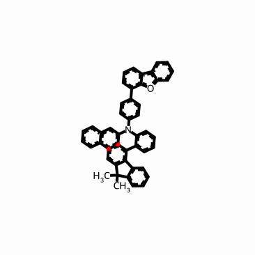 CC1(C)c2ccccc2-c2c(-c3ccccc3N(c3ccc(-c4cccc5c4oc4ccccc45)cc3)c3ccc4ccccc4c3)cccc21